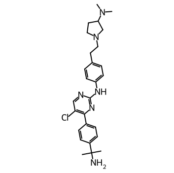 CN(C)C1CCN(CCc2ccc(Nc3ncc(Cl)c(-c4ccc(C(C)(C)N)cc4)n3)cc2)C1